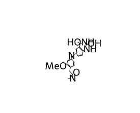 COc1cc(N(C)c2ccc3c(c2)C(O)NC(O)N3)ccc1CC(=O)N(C)C